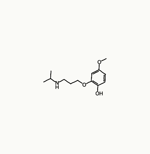 COc1ccc(O)c(OCCCNC(C)C)c1